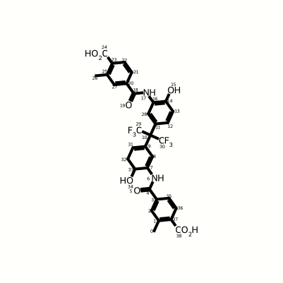 Cc1cc(C(=O)NC2=CC(C(c3ccc(O)c(NC(=O)c4ccc(C(=O)O)c(C)c4)c3)(C(F)(F)F)C(F)(F)F)=CCC2O)ccc1C(=O)O